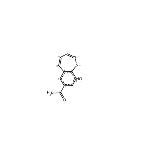 Cl.NC(=O)c1ccc2c(c1)C=CC=NS2